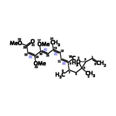 C=CC1OC1(C)CC(C)/C(C)=C/C=C(C)\C=C(OC)\C(=C/C(=O)OC)OC